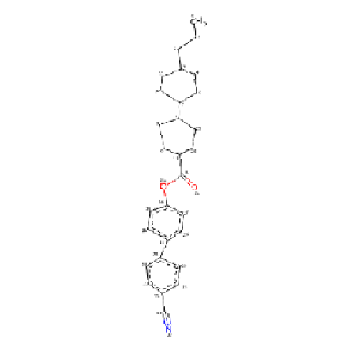 CCCC1CCC(C2CCC(C(=O)Oc3ccc(-c4ccc(C#N)cc4)cc3)CC2)CC1